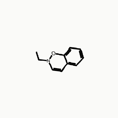 CCN1C=Cc2ccccc2O1